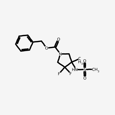 CC1(NS(C)(=O)=O)CN(C(=O)OCc2ccccc2)CC1(F)F